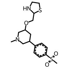 CN1CC(OCC2NCCS2)CC(c2ccc(S(C)(=O)=O)cc2)C1